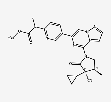 C[C@@H]1CN(c2nc(-c3ccc(N(C)C(=O)OC(C)(C)C)nc3)cn3nccc23)C(=O)[C@]1(C#N)C1CC1